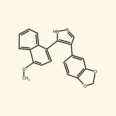 COc1ccc(-c2[nH]ncc2-c2ccc3c(c2)OCO3)c2ccccc12